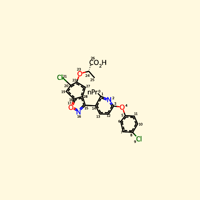 CCCc1nc(Oc2ccc(Cl)cc2)ccc1-c1noc2cc(Cl)c(O[C@@H](C)C(=O)O)cc12